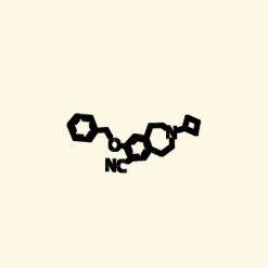 N#Cc1cc2c(cc1OCc1ccccc1)CCN(C1CCC1)CC2